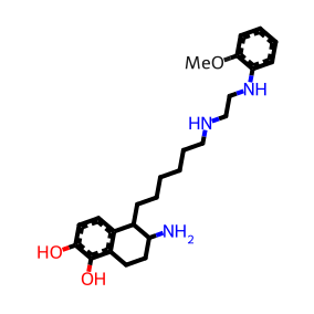 COc1ccccc1NCCNCCCCCCC1c2ccc(O)c(O)c2CCC1N